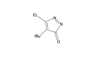 CCC1=C(C(C)(C)C)C(=O)N=N1